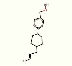 CC/C=C/CC1CCC(c2ccc(COCCC)cc2)CC1